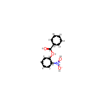 O=C(Oc1[c]cccc1[N+](=O)[O-])c1ccccc1